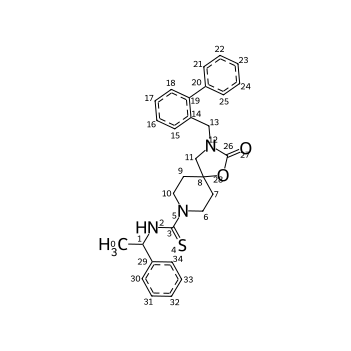 CC(NC(=S)N1CCC2(CC1)CN(Cc1ccccc1-c1ccccc1)C(=O)O2)c1ccccc1